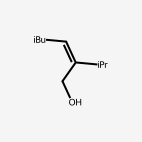 CCC(C)C=C(CO)C(C)C